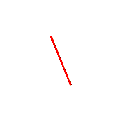 S=S=S=S=S=S=S=S=S=S=S=S=S=S=S=S=S=S=S=S=S=S=S=S=S=S=S=S=S=S=S=S=S=S=S=S=S=S=S=S=S=S=S=S=S=S=S=S=S=S=S=S=S=S=S=S=S=S=S=S=S=S=S=S=S=S=S=S=S=S=S=S=S=S=S=S=S=S=S=S=S=S=S=S=S=S=S=S=S